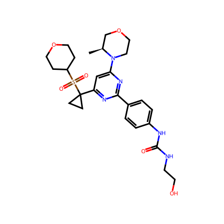 C[C@H]1COCCN1c1cc(C2(S(=O)(=O)C3CCOCC3)CC2)nc(-c2ccc(NC(=O)NCCO)cc2)n1